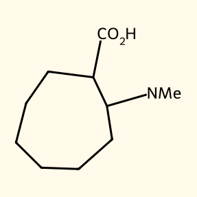 CNC1CCCCCCC1C(=O)O